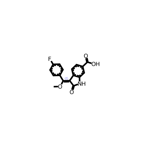 CO/C(=C1\C(=O)Nc2cc(C(=O)O)ccc21)c1ccc(F)cc1